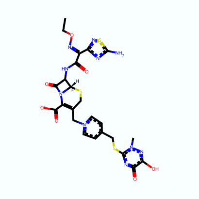 CCON=C(C(=O)NC1C(=O)N2C(C(=O)[O-])=C(C[n+]3ccc(CSc4nc(=O)c(O)nn4C)cc3)CS[C@@H]12)c1nsc(N)n1